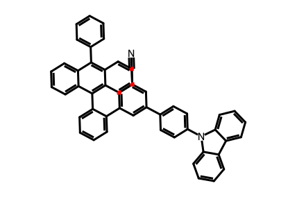 N#Cc1cc(-c2ccc(-n3c4ccccc4c4ccccc43)cc2)cc(-c2ccccc2-c2c3ccccc3c(-c3ccccc3)c3ccccc23)c1